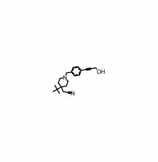 CC(C)(C)C1(CC#N)CCN(Cc2ccc(C#CCO)cc2)CC1